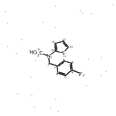 O=C(O)N(Cc1ccc(F)cc1)c1cccs1